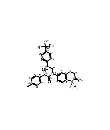 CN1C(=O)CCc2cc(N(CCc3ccc(C(F)(F)F)cn3)C(=O)[C@H](O)c3ccc(F)cc3)ccc21